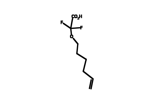 C=CCCCCOC(F)(F)C(=O)O